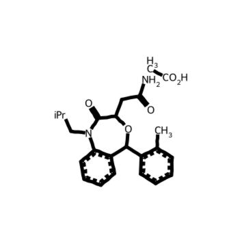 CC(=O)O.Cc1ccccc1C1OC(CC(N)=O)C(=O)N(CC(C)C)c2ccccc21